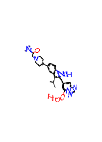 CC(C)c1c(-c2cc(OO)n3ncnc3c2)[nH]c2ccc(C3CCN(CC(=O)N(C)C)CC3)cc12